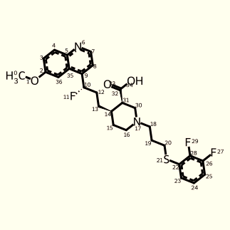 COc1ccc2nccc([C@@H](F)CC[C@@H]3CCN(CCCSc4cccc(F)c4F)C[C@@H]3C(=O)O)c2c1